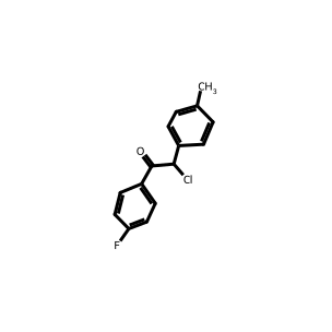 Cc1ccc(C(Cl)C(=O)c2ccc(F)cc2)cc1